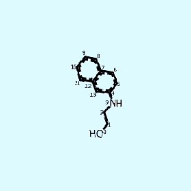 OCCNc1ccc2cc[c]cc2c1